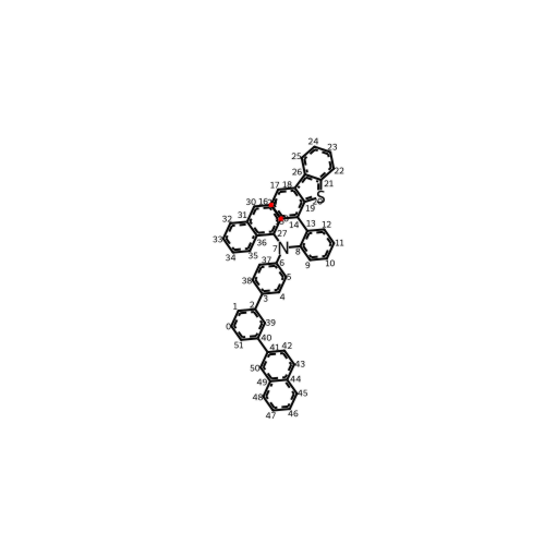 c1cc(-c2ccc(N(c3ccccc3-c3cccc4c3sc3ccccc34)c3cccc4ccccc34)cc2)cc(-c2ccc3ccccc3c2)c1